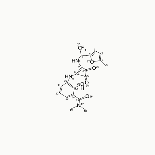 Cc1ccc(C(Nc2c(Nc3cccc(C(=O)N(C)C)c3O)c(=O)c2=O)C(F)(F)F)o1